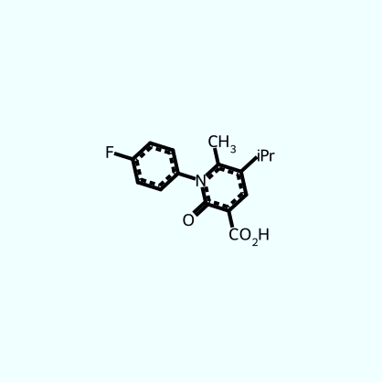 Cc1c(C(C)C)cc(C(=O)O)c(=O)n1-c1ccc(F)cc1